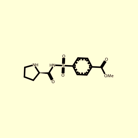 COC(=O)c1ccc(S(=O)(=O)NC(=O)[C@H]2CCCN2)cc1